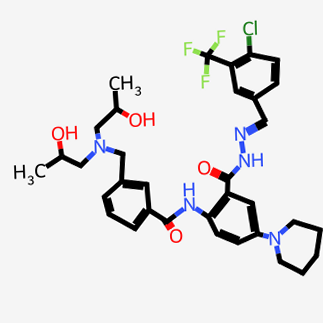 CC(O)CN(Cc1cccc(C(=O)Nc2ccc(N3CCCCC3)cc2C(=O)NN=Cc2ccc(Cl)c(C(F)(F)F)c2)c1)CC(C)O